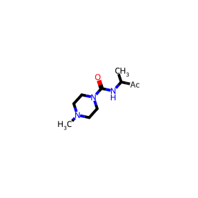 CC(=O)C(C)NC(=O)N1CCN(C)CC1